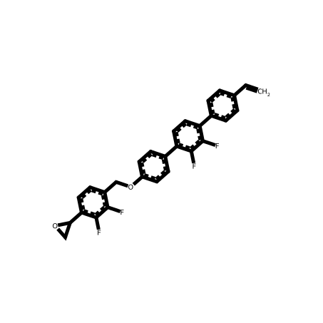 C=Cc1ccc(-c2ccc(-c3ccc(OCc4ccc(C5CO5)c(F)c4F)cc3)c(F)c2F)cc1